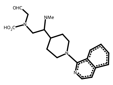 CNC(CN(CC=O)C(=O)O)C1CCN(c2nccc3ccccc23)CC1